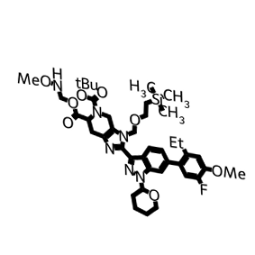 CCc1cc(OC)c(F)cc1-c1ccc2c(-c3nc4c(n3COCC[Si](C)(C)C)CN(C(=O)OC(C)(C)C)C(C(=O)OCNOC)C4)nn(C3CCCCO3)c2c1